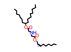 CCCCCC/C=C\COC(=O)CNCC(=O)OC(CCCCCCC)CCCCCCCC